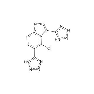 Clc1c(-c2nnn[nH]2)ccc2ncc(-c3nnn[nH]3)n12